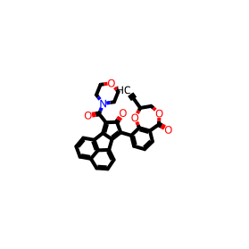 C#CC1COC(=O)c2cccc(C3=C4C(=C(C(=O)N5CCOCC5)C3=O)c3cccc5cccc4c35)c2O1